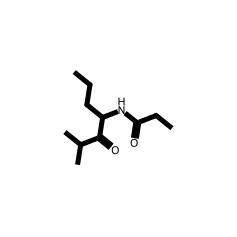 CCCC(NC(=O)CC)C(=O)C(C)C